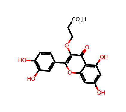 O=C(O)CCOc1c(-c2ccc(O)c(O)c2)oc2cc(O)cc(O)c2c1=O